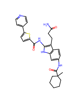 CC1(C(=O)Nc2ccc3c(CCC(N)=O)c(NC(=O)c4ccc(-c5ccncc5)s4)[nH]c3c2)CCCCC1